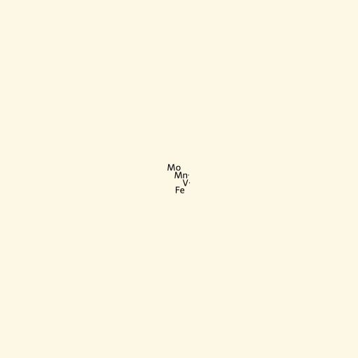 [Fe].[Mn].[Mo].[V]